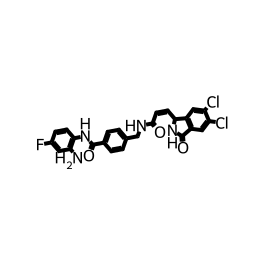 Nc1cc(F)ccc1NC(=O)c1ccc(CNC(=O)/C=C\C2NC(=O)c3cc(Cl)c(Cl)cc32)cc1